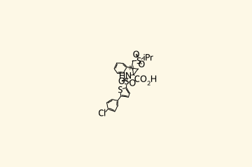 CC(C)S(=O)(=O)C[C@@]1(c2ccccc2)CC1(NS(=O)(=O)c1ccc(-c2ccc(Cl)cc2)s1)C(=O)O